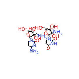 NC[C@@]1(O)[C@H](O)[C@@H](CO)O[C@H]1n1ccc(N)nc1=O.N[C@@]1(O)[C@H](O)[C@@H](CO)O[C@H]1n1ccc(=O)[nH]c1=O